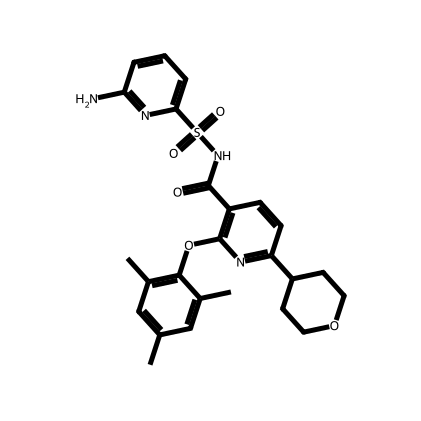 Cc1cc(C)c(Oc2nc(C3CCOCC3)ccc2C(=O)NS(=O)(=O)c2cccc(N)n2)c(C)c1